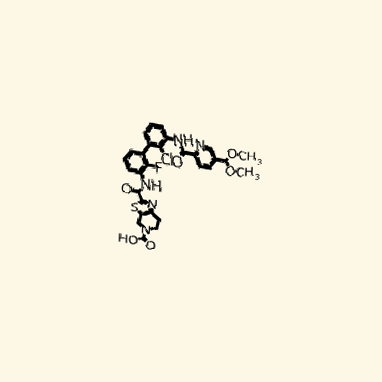 COC(OC)c1ccc(C(=O)Nc2cccc(-c3cccc(NC(=O)c4nc5c(s4)CN(C(=O)O)CC5)c3F)c2Cl)nc1